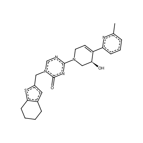 Cc1cccc(C2=CCN(c3ncn(Cc4cc5c(s4)CCCC5)c(=O)n3)C[C@@H]2O)n1